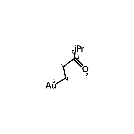 CC(C)C(=O)C[CH2][Au]